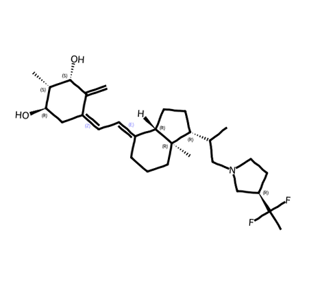 C=C1/C(=C\C=C2/CCC[C@]3(C)[C@@H](C(C)CN4CC[C@@H](C(C)(F)F)C4)CC[C@@H]23)C[C@@H](O)[C@H](C)[C@@H]1O